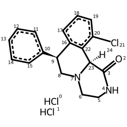 Cl.Cl.O=C1NCCN2C[C@@H](c3ccccc3)c3cccc(Cl)c3[C@@H]12